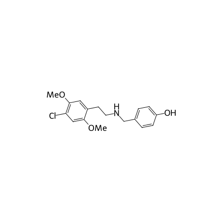 COc1cc(CCNCc2ccc(O)cc2)c(OC)cc1Cl